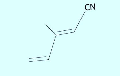 C=C/C(C)=C/C#N